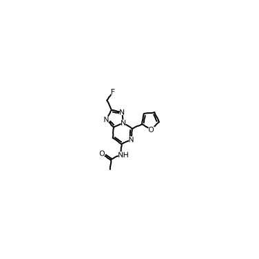 CC(=O)Nc1cc2nc(CF)nn2c(-c2ccco2)n1